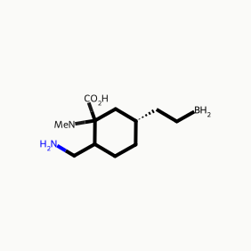 BCC[C@@H]1CCC(CN)C(NC)(C(=O)O)C1